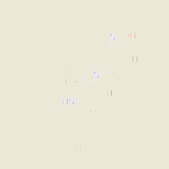 C=C1ON(C(C)(C)C(=O)Nc2cc(Cl)cc(Cl)c2)C(=O)C(c2ccccc2)C1=NO